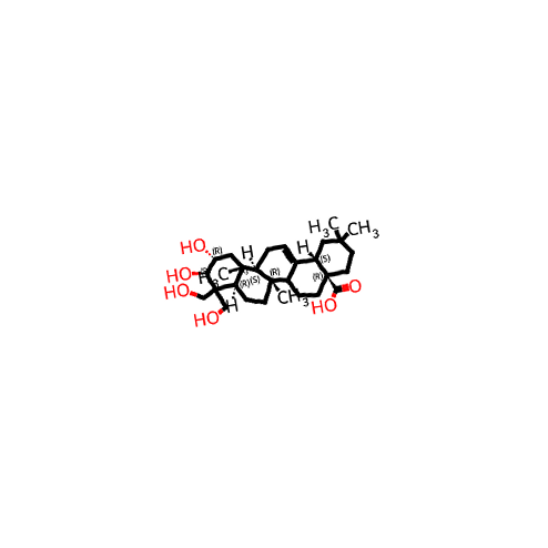 CC1(C)CC[C@]2(C(=O)O)CCC3C(=CC[C@@H]4[C@@]5(C)C[C@@H](O)[C@H](O)C(CO)(CO)[C@@H]5CC[C@@]34C)[C@@H]2C1